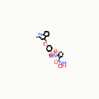 Cc1cc(COc2ccc(S(=O)(=O)NC3C4CCC(C4)C3C(=O)NO)cc2)c2ccccc2n1